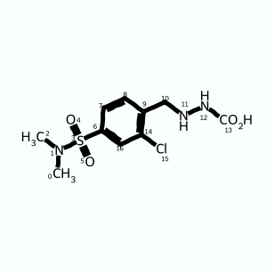 CN(C)S(=O)(=O)c1ccc(CNNC(=O)O)c(Cl)c1